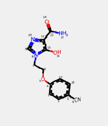 N#Cc1ccc(OCCn2cnc(C(N)=O)c2O)cc1